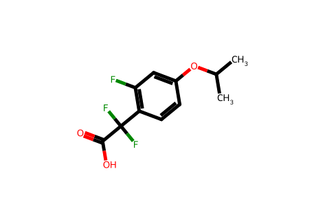 CC(C)Oc1ccc(C(F)(F)C(=O)O)c(F)c1